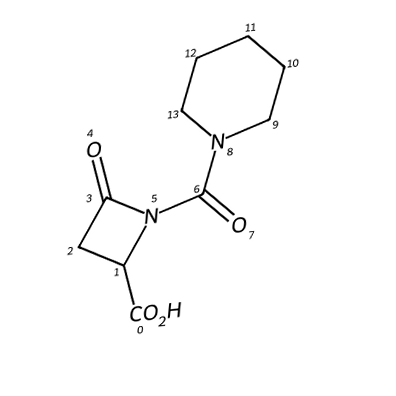 O=C(O)C1CC(=O)N1C(=O)N1CCCCC1